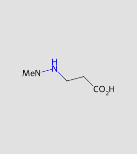 CNNCCC(=O)O